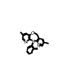 Cc1cnc2c(c1)COc1cc(C)cnc1N2c1ccccc1C